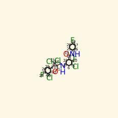 O=CC1(CNc2cc(Cl)c(F)c(C(=O)Nc3ccc(F)cc3)c2)C(c2ccc(F)c(Cl)c2)C1(Cl)Cl